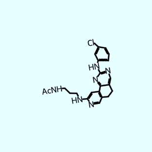 CC(=O)NCCCNc1cc2c(cn1)CCc1cnc(Nc3cccc(Cl)c3)nc1-2